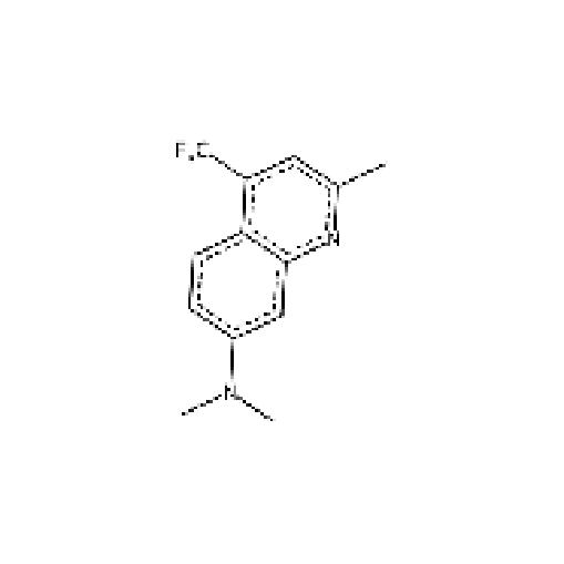 Cc1cc(C(F)(F)F)c2ccc(N(C)C)cc2n1